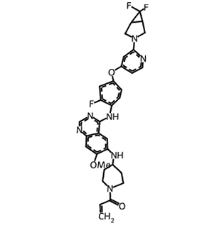 C=CC(=O)N1CCC(Nc2cc3c(Nc4ccc(Oc5ccnc(N6CC7C(C6)C7(F)F)c5)cc4F)ncnc3cc2OC)CC1